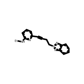 CCNc1cccc(C#CCCn2nc3ccccc3n2)n1